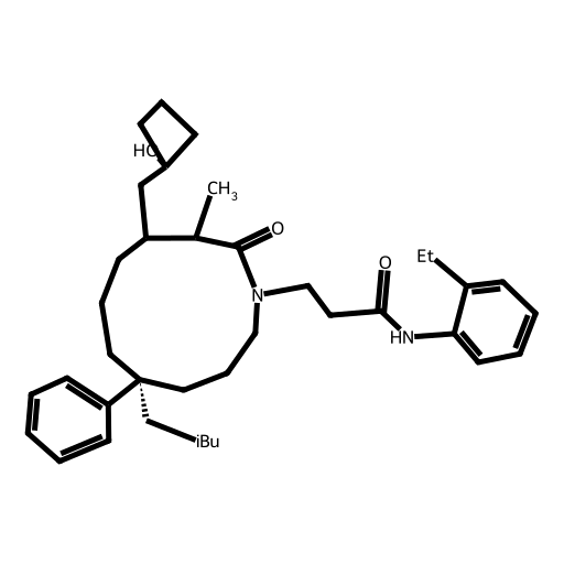 CCc1ccccc1NC(=O)CCN1CCC[C@@](CC(C)CC)(c2ccccc2)CCCC(CC2(O)CCC2)C(C)C1=O